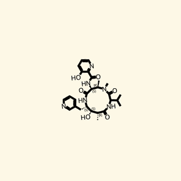 CC(C)C1NC(=O)[C@H](C)[C@H](O)[C@H](Cc2cccnc2)NC(=O)[C@@H](NC(=O)c2ncccc2O)[C@@H](C)N(C)C1=O